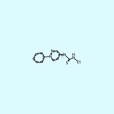 CCNC(=S)/N=c1\ccn(-c2ccccc2)nc1